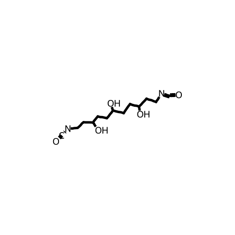 O=C=NCCC(O)CCC(O)CCC(O)CCN=C=O